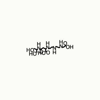 O=C(O)CNCCNCCNC(CC(=O)NC(CO)CO)C(=O)O